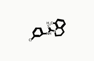 Cc1cccc2c1N(C(=S)Nc1cccc(Cl)c1)CCC2